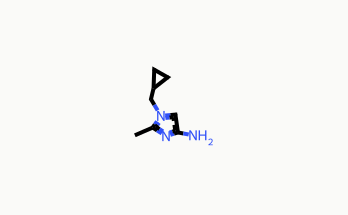 Cc1nc(N)cn1CC1CC1